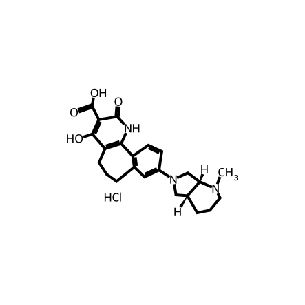 CN1CCC[C@@H]2CN(c3ccc4c(c3)CCCc3c-4[nH]c(=O)c(C(=O)O)c3O)C[C@@H]21.Cl